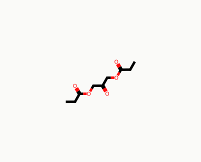 CCC(=O)OCC(=O)COC(=O)CC